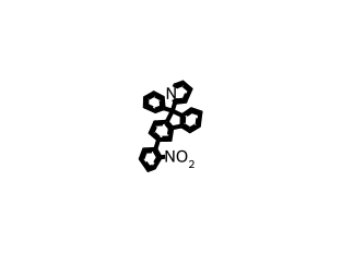 O=[N+]([O-])c1ccccc1-c1ccc2c(c1)-c1ccccc1C2(c1ccccc1)c1ccccn1